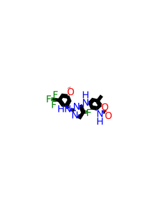 COc1cc(Nc2ncc(F)c(Nc3cc(C)c4oc(=O)[nH]c4c3)n2)cc(C(F)(F)F)c1